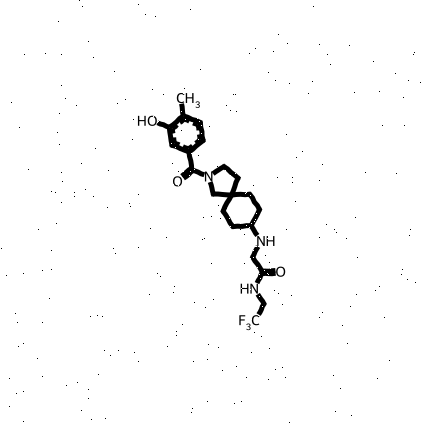 Cc1ccc(C(=O)N2CCC3(CCC(NCC(=O)NCC(F)(F)F)CC3)C2)cc1O